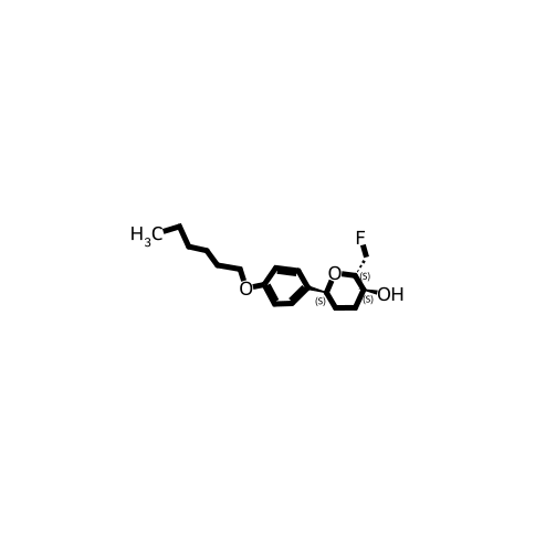 CCCCCCOc1ccc([C@@H]2CC[C@H](O)[C@@H](CF)O2)cc1